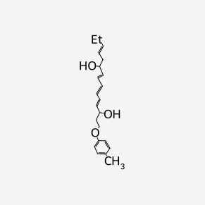 CCC=CCC(O)C=CC=CC=CC(O)CCOc1ccc(C)cc1